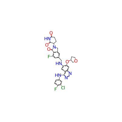 O=C1CCC(N2Cc3cc(CNc4cc5c(Nc6ccc(F)c(Cl)c6)ncnc5cc4O[C@H]4CCOC4)cc(F)c3C2=O)C(=O)N1